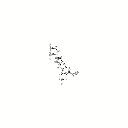 C[C@H]1CC=C(c2ccc3cn(C4CCN(C)C[C@H]4C)nc3c2)N(C(=O)OC(C)(C)C)C1